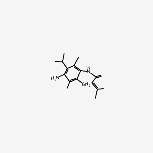 Bc1c(C)c(B)c(C(C)C)c(C)c1NC(=C)C=C(C)C